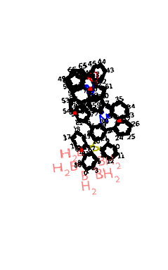 Bc1c(B)c(B)c(S(c2ccccc2)(c2ccccc2)c2cc(-c3ccccc3)c(-n3c4ccccc4c4cc(-n5c6ccccc6c6cccc(-c7ccccc7-c7cccc8oc9ccccc9c78)c65)ccc43)c(-c3ccccc3)c2)c(B)c1B